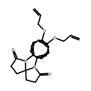 C=CCOc1ccc(N2C(=O)CCC23CCC(=O)N3c2ccc(OCC=C)cc2)cc1